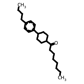 CCCCCCCC(=O)C1CCC(c2ccc(CCCC)cc2)CC1